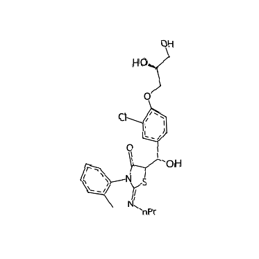 CCC/N=C1\SC(C(O)c2ccc(OC[C@@H](O)CO)c(Cl)c2)C(=O)N1c1ccccc1C